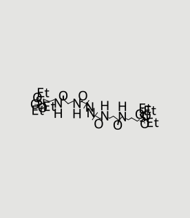 CCO[Si](CCCNC(=O)CCNC(=O)C(C)(C)N=NC(C)(C)C(=O)NCCC(=O)NCCC[Si](OCC)(OCC)OCC)(OCC)OCC